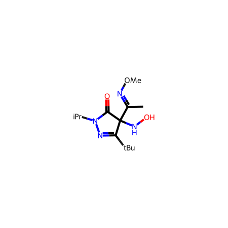 CON=C(C)C1(NO)C(=O)N(C(C)C)N=C1C(C)(C)C